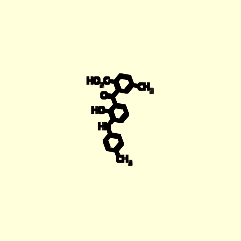 Cc1ccc(Nc2cccc(C(=O)c3cc(C)ccc3C(=O)O)c2O)cc1